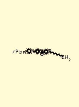 C=CCCCCCCCOc1ccc(C(=O)Oc2ccc(CC[C@H]3CC[C@H](CCCCC)CC3)cc2)cc1